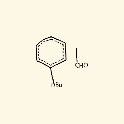 CC=O.CCCCc1ccccc1